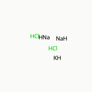 Cl.Cl.[KH].[NaH].[NaH]